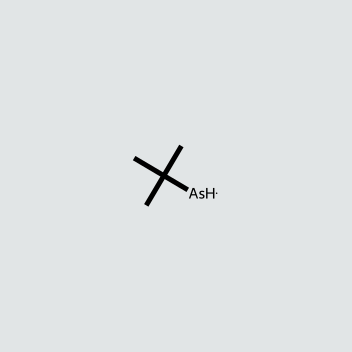 CC(C)(C)[AsH]